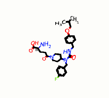 CC(C)COc1ccc(CNC(=O)N(Cc2ccc(F)cc2)C2CCN(C(=O)CC[C@H](N)C(=O)O)CC2)cc1